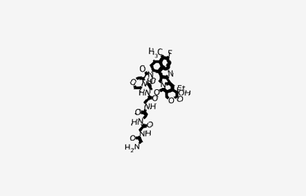 CC[C@]1(O)C(=O)OCc2c1cc1n(c2=O)Cc2c-1nc1cc(F)c(C)c3c1c2[C@H](NC(=O)[C@@H]1COCCN1C(=O)CNC(=O)CNC(=O)CNC(=O)CNC(=O)CN)CC3